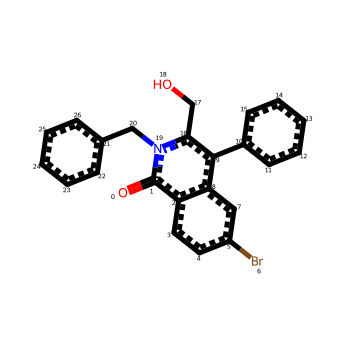 O=c1c2ccc(Br)cc2c(-c2ccccc2)c(CO)n1Cc1ccccc1